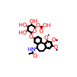 COc1cc2c(c(OC)c1OC)-c1ccc(O[C@@H]3O[C@@H](OC(=O)O)[C@@H](O)[C@@H](O)[C@H]3O)cc1[C@@H](NC(C)=O)CC2